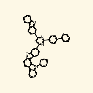 c1ccc(-c2ccc(-c3nc(-c4ccc5c(c4)oc4ccccc45)nc(-c4ccc5c(c4)oc4ccc6c7ccccc7n(-c7ccccc7)c6c45)n3)cc2)cc1